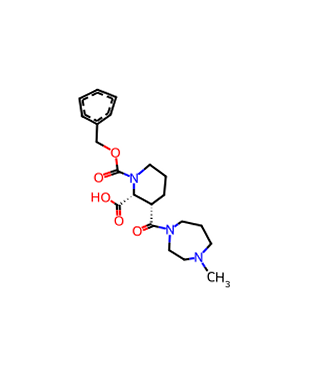 CN1CCCN(C(=O)[C@H]2CCCN(C(=O)OCc3ccccc3)[C@H]2C(=O)O)CC1